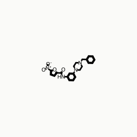 O=C(Nc1cccc(N2CCN(Cc3ccccc3)CC2)c1)c1ccc([N+](=O)[O-])o1